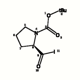 CC(C)(C)OC(=O)N1CCC[C@@H]1C(=O)I